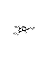 CC(C)(C)OC(=O)N1CCN(CC(=O)O)C(=O)[C@@H]1CCC(=O)O